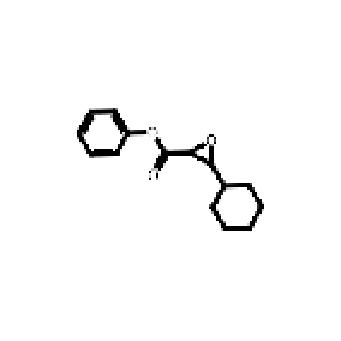 O=C(Oc1ccccc1)C1OC1C1CCCCC1